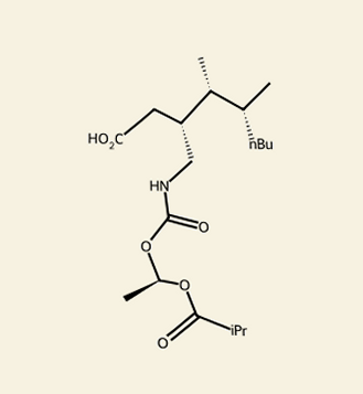 CCCC[C@@H](C)[C@@H](C)[C@H](CNC(=O)O[C@H](C)OC(=O)C(C)C)CC(=O)O